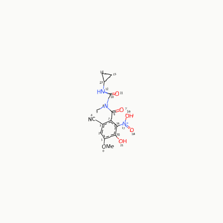 COc1cc(C#N)c(C(=O)N(C)C(=O)NC2CC2)c([N+](=O)O)c1O